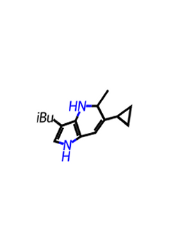 CCC(C)c1c[nH]c2c1NC(C)C(C1CC1)=C2